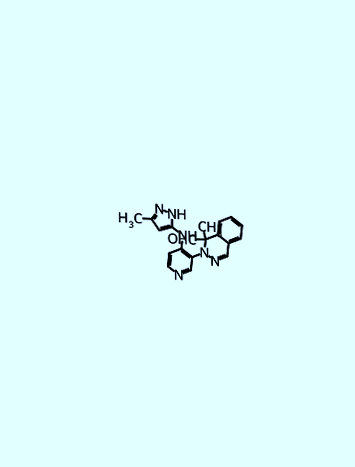 Cc1cc(Nc2ccncc2N2N=Cc3ccccc3C2(C)C=O)[nH]n1